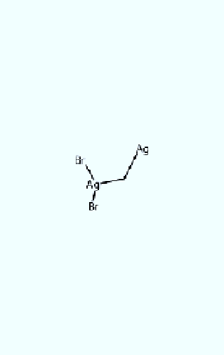 [Br][Ag]([Br])[CH2][Ag]